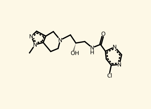 Cn1ncc2c1CCN(C[C@@H](O)CNC(=O)c1cc(Cl)ncn1)C2